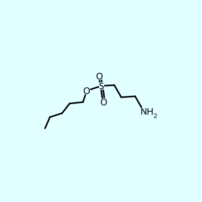 CCCCCOS(=O)(=O)CCCN